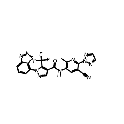 Cc1nc(-n2nccn2)c(C#N)cc1NC(=O)c1cnn(-c2cccc3nnsc23)c1C(F)(F)F